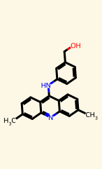 Cc1ccc2c(Nc3cccc(CO)c3)c3ccc(C)cc3nc2c1